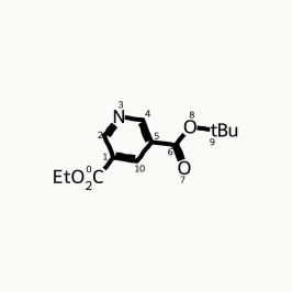 CCOC(=O)c1cncc(C(=O)OC(C)(C)C)c1